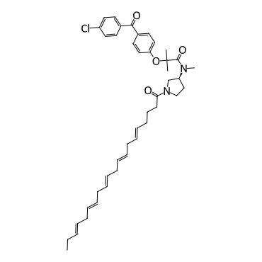 CCC=CCC=CCC=CCC=CCC=CCCCC(=O)N1CC[C@H](N(C)C(=O)C(C)(C)Oc2ccc(C(=O)c3ccc(Cl)cc3)cc2)C1